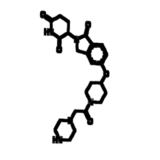 O=C1CCC(N2Cc3cc(OC4CCN(C(=O)CN5CCNCC5)CC4)ccc3C2=O)C(=O)N1